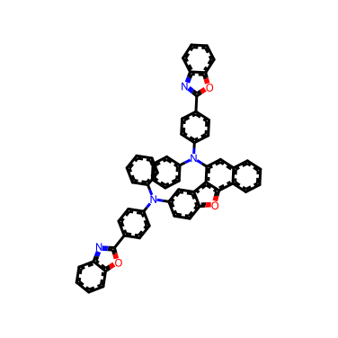 c1ccc(N(c2ccc(-c3nc4ccccc4o3)cc2)c2ccc3oc4c5ccccc5cc(N(c5ccccc5)c5ccc(-c6nc7ccccc7o6)cc5)c4c3c2)cc1